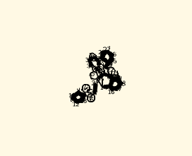 O=C1N(CCS(=O)(=O)c2ccccc2)Cc2ccccc2[C@@H]2OC(c3ccccc3)=N[C@]12CN1CCOCC1